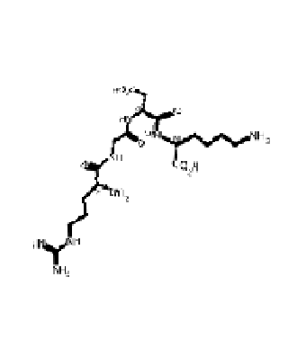 N=C(N)NCCC[C@H](N)C(=O)NCC(=O)N[C@@H](CC(=O)O)C(=O)N[C@@H](CCCCN)C(=O)O